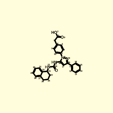 O=C(O)Cc1ccc(-n2nc(-c3ccccc3)cc2NC(=O)NC2CCCc3ccccc32)cc1